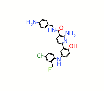 Nc1ccc(CNC(=O)c2ccc(-c3cc(Nc4ccc(Cl)cc4CF)ccc3O)nc2N)cc1